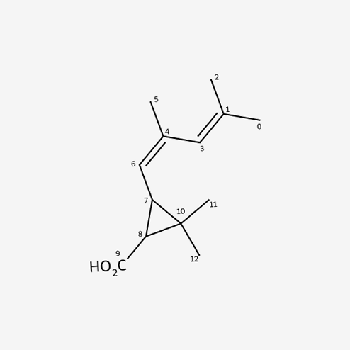 CC(C)=CC(C)=CC1C(C(=O)O)C1(C)C